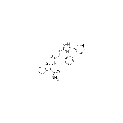 NC(=O)c1c(NC(=O)CSc2nnc(-c3cccnc3)n2-c2ccccc2)sc2c1CCC2